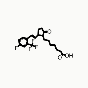 O=C(O)CCCCCCC1C(=O)CCC1C=Cc1ccc(F)cc1C(F)(F)F